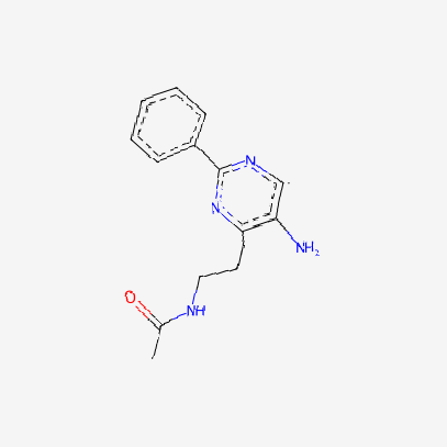 CC(=O)NCCc1nc(-c2ccccc2)n[c]c1N